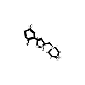 Fc1ccc(Cl)cc1-c1cc(CN2C[CH]NCC2)no1